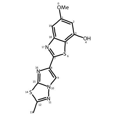 COc1cc(O)c2sc(-c3cn4nc(C)sc4n3)nc2c1